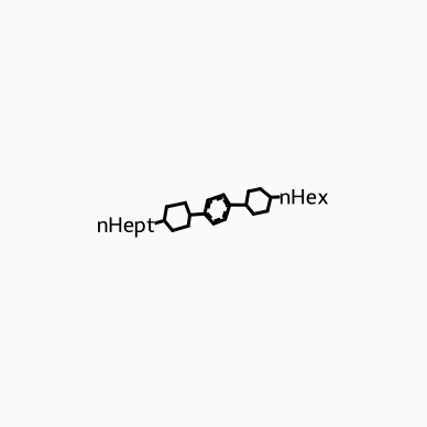 CCCCCCCC1CCC(c2ccc(C3CCC(CCCCCC)CC3)cc2)CC1